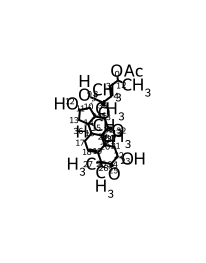 CC(=O)OC(C)/C=C/C(=O)[C@](C)(O)[C@H]1[C@H](O)C[C@@]2(C)[C@@H]3CC=C4[C@@H](C[C@H](O)C(=O)C4(C)C)[C@]3(C)C(=O)C[C@]12C